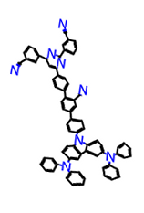 N#Cc1cccc(-c2cc(-c3ccc(-c4ccc(-c5ccc(-n6c7ccc(N(c8ccccc8)c8ccccc8)cc7c7cc(N(c8ccccc8)c8ccccc8)ccc76)cc5)cc4C#N)cc3)nc(-c3cccc(C#N)c3)n2)c1